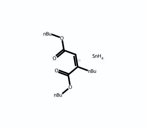 CCCCOC(=O)/C=C(/CCCC)C(=O)OCCCC.[SnH4]